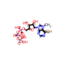 C[n+]1cn(C2OC(COP(=O)(O)OP(=O)(O)OP(=O)(O)O)C(O)C2O)c2ncnc(S)c21